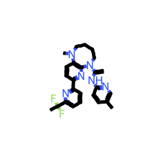 C=C(Nc1ccc(C)cn1)N1CCCCN(C)c2ccc(-c3cccc(C(C)(F)F)n3)nc21